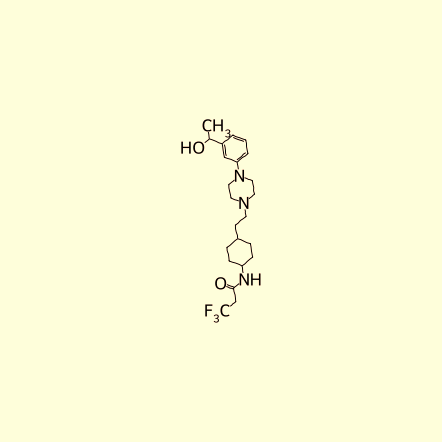 CC(O)c1cccc(N2CCN(CCC3CCC(NC(=O)CC(F)(F)F)CC3)CC2)c1